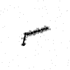 CC(O)C(O)C(=O)NCC(O)C(O)C(=O)NCC(O)C(=O)C(=O)NCC(O)C(O)C(=O)NCC(O)C(O)C(=O)NCC(O)C(O)C(=O)NC(CCCCNC(=O)CCCCCN1C(=O)C=CC1=O)C(N)=O